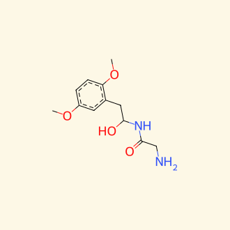 COc1ccc(OC)c(CC(O)NC(=O)CN)c1